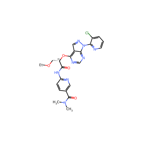 CCOC[C@H](Oc1ncnc2c1cnn2-c1ncccc1Cl)C(=O)Nc1ccc(C(=O)N(C)C)cn1